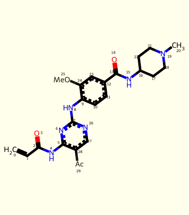 C=CC(=O)Nc1nc(Nc2ccc(C(=O)NC3CCN(C)CC3)cc2OC)ncc1C(C)=O